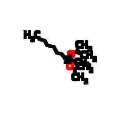 C=C(C)O[Si](C)(CCCCCCCC)OC(=C)C